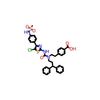 CS(=O)(=O)Nc1ccc(-c2nc(NC(=O)N(CCc3ccc(C(=O)O)cc3)CCC(c3ccccc3)c3ccccc3)sc2Cl)cc1